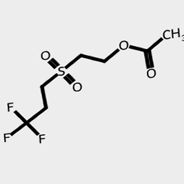 CC(=O)OCCS(=O)(=O)CCC(F)(F)F